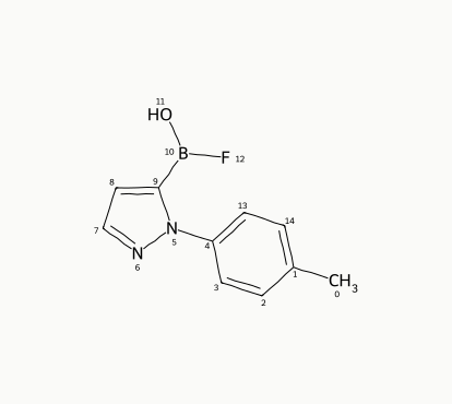 Cc1ccc(-n2nccc2B(O)F)cc1